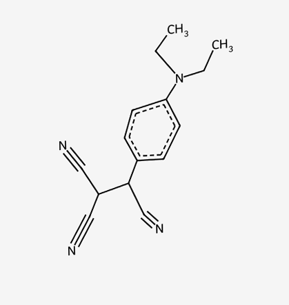 CCN(CC)c1ccc(C(C#N)C(C#N)C#N)cc1